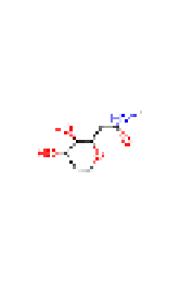 CNC(=O)CC1OCC[C@H](O)[C@H]1O